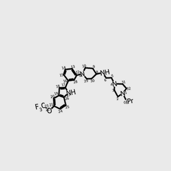 CC(C)N1CCN(CCNC2CCN(c3cccc(-c4cc5cc(OC(F)(F)F)ccc5[nH]4)c3)CC2)CC1